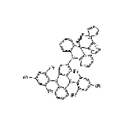 CC(C)c1cc(C(C)C)c(B2c3ccccc3B(c3c(C(C)C)cc(C(C)C)cc3C(C)C)c3cc(N4c5ccccc5C5(c6ccccc64)c4ccccc4[Si]4(C=CC=C4)c4ccccc45)ccc32)c(C(C)C)c1